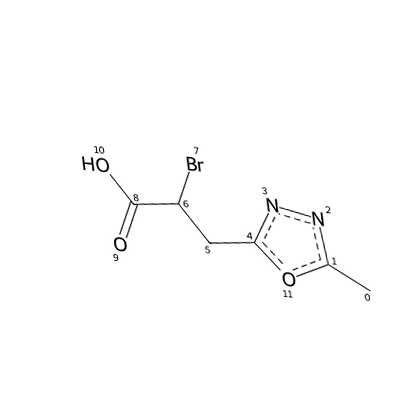 Cc1nnc(CC(Br)C(=O)O)o1